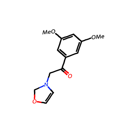 COc1cc(OC)cc(C(=O)CN2C=COC2)c1